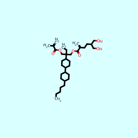 C=C(C)C(=O)OCC(CC)(COC(=O)C(=C)CCC(CO)CO)C1CCC(C2CCC(CCCCC)CC2)CC1